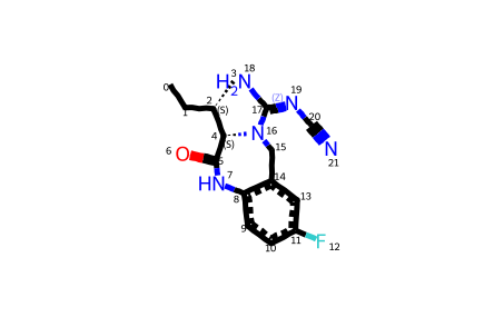 CC[C@H](C)[C@H]1C(=O)Nc2ccc(F)cc2CN1/C(N)=N\C#N